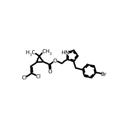 CC1(C)C(C=C(Cl)Cl)C1C(=O)OCc1[nH]ccc1Cc1ccc(Br)cc1